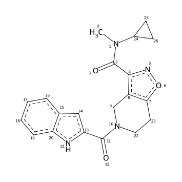 CN(C(=O)c1noc2c1CN(C(=O)c1cc3ccccc3[nH]1)CC2)C1CC1